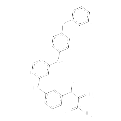 C=C(C(N)=O)C(O)c1cccc(Nc2cc(Nc3ccc(Oc4ccccc4)cc3)ncn2)c1